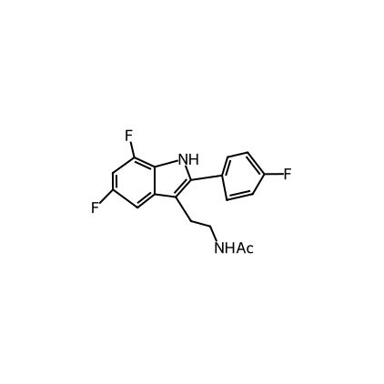 CC(=O)NCCc1c(-c2ccc(F)cc2)[nH]c2c(F)cc(F)cc12